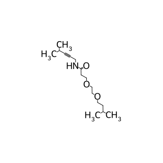 CC(C)C#CCNC(=O)CCOCCOCCC(C)C